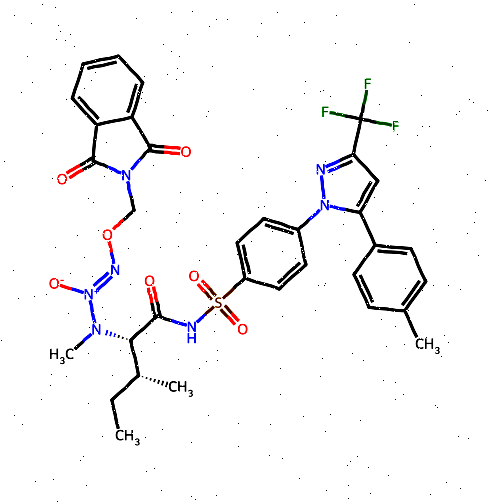 CC[C@@H](C)[C@@H](C(=O)NS(=O)(=O)c1ccc(-n2nc(C(F)(F)F)cc2-c2ccc(C)cc2)cc1)N(C)/[N+]([O-])=N/OCN1C(=O)c2ccccc2C1=O